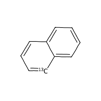 c1ccc2[13cH]cccc2c1